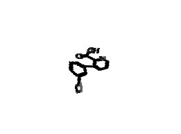 O=C(O)c1ncccc1-c1cccc(Cl)c1